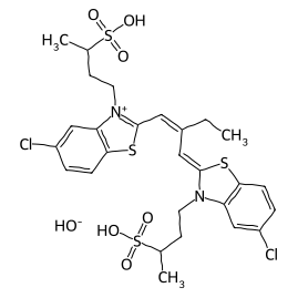 CCC(=Cc1sc2ccc(Cl)cc2[n+]1CCC(C)S(=O)(=O)O)C=C1Sc2ccc(Cl)cc2N1CCC(C)S(=O)(=O)O.[OH-]